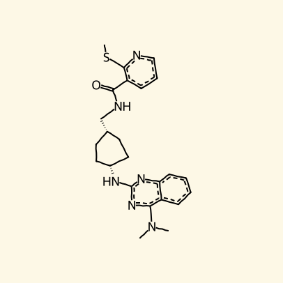 CSc1ncccc1C(=O)NC[C@H]1CC[C@@H](Nc2nc(N(C)C)c3ccccc3n2)CC1